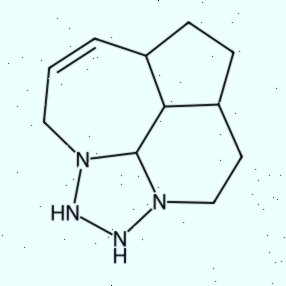 C1=CC2CCC3CCN4NNN(C1)C4C23